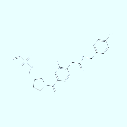 C=CS(=O)(=O)NC[C@H]1CCN(C(=O)c2ccc(CC(=O)NCc3ccc(C(F)(F)F)cc3)c(C)c2)C1